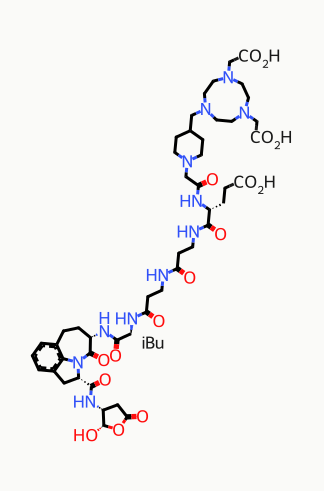 CC[C@H](C)[C@H](NC(=O)CCNC(=O)CCNC(=O)[C@@H](CCC(=O)O)NC(=O)CN1CCC(CN2CCN(CC(=O)O)CCN(CC(=O)O)CC2)CC1)C(=O)N[C@H]1CCc2cccc3c2N(C1=O)[C@H](C(=O)N[C@@H]1CC(=O)O[C@@H]1O)C3